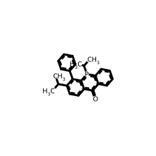 CC(C)c1ccc2c(=O)c3ccccc3p(C(C)C)c2c1-c1ccccc1